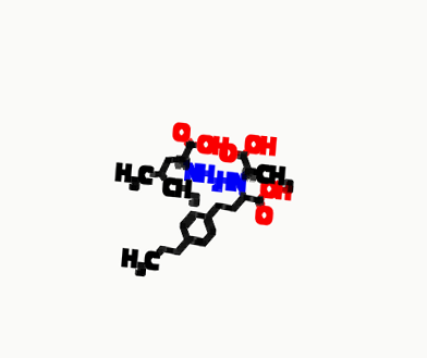 CC(C)C[C@H](N)C(=O)O.CCCc1ccc(CCC(N[C@H](C)C(=O)O)C(=O)O)cc1